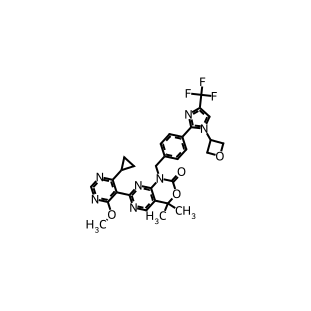 COc1ncnc(C2CC2)c1-c1ncc2c(n1)N(Cc1ccc(-c3nc(C(F)(F)F)cn3C3COC3)cc1)C(=O)OC2(C)C